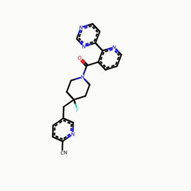 N#Cc1ccc(CC2(F)CCN(C(=O)c3cccnc3-c3ccncn3)CC2)cn1